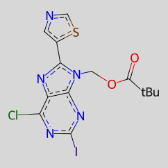 CC(C)(C)C(=O)OCn1c(-c2cncs2)nc2c(Cl)nc(I)nc21